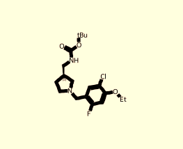 CCOc1cc(F)c(CN2CC[C@@H](CNC(=O)OC(C)(C)C)C2)cc1Cl